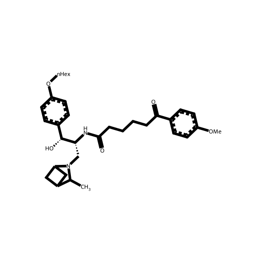 CCCCCCOc1ccc([C@@H](O)[C@@H](CN2C3CC(C3)C2C)NC(=O)CCCCC(=O)c2ccc(OC)cc2)cc1